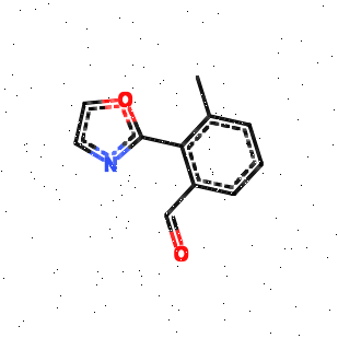 Cc1cccc(C=O)c1-c1ncco1